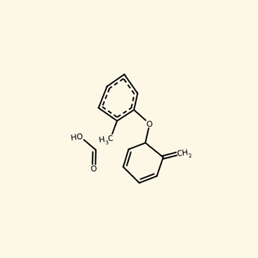 C=C1C=CC=CC1Oc1ccccc1C.O=CO